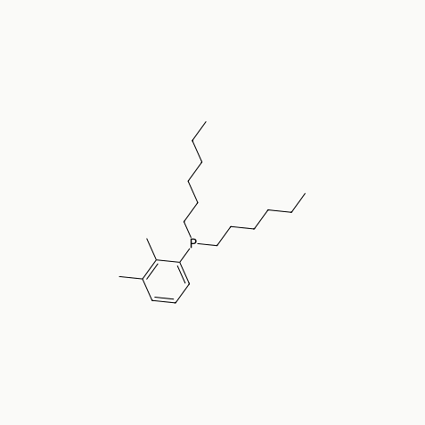 CCCCCCP(CCCCCC)c1cccc(C)c1C